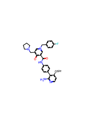 COc1ccnc(N)c1-c1ccc(NC(=O)c2cn(Cc3ccc(F)cc3)cc(CN3CCCC3)c2=O)cc1